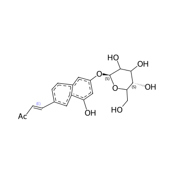 CC(=O)/C=C/c1ccc2cc(O[C@@H]3OC(CO)[C@@H](O)C(O)C3O)cc(O)c2c1